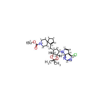 CC(C)(C)OC(=O)N1CCC2(CCC=C2C[C@H]2C[C@@H](n3ccc4c(Cl)ncnc43)[C@@H]3OC(C)(C)O[C@H]23)CC1